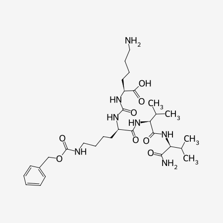 CC(C)[C@H](NC(=O)[C@@H](NC(=O)[C@@H](CCCCNC(=O)OCc1ccccc1)NC(=O)N[C@@H](CCCCN)C(=O)O)C(C)C)C(N)=O